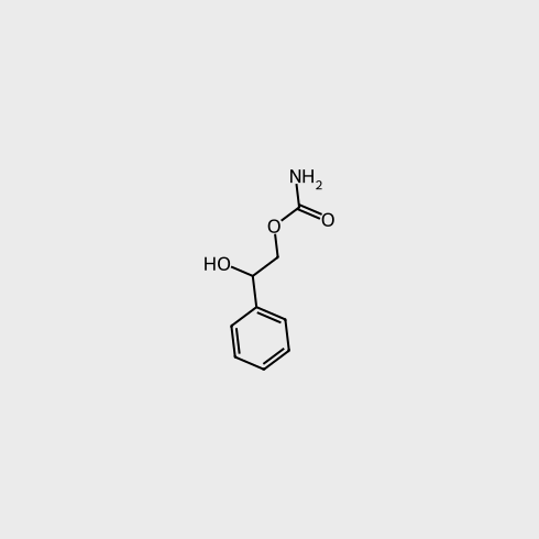 NC(=O)OCC(O)c1ccccc1